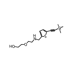 C[Si](C)(C)C#Cc1ccc(CNCCOCCO)s1